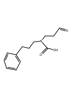 O=CCCN(CCCc1ccccc1)C(=O)O